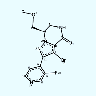 COC[C@H]1CNC(=O)c2c(Br)c(-c3ccncc3F)nn21